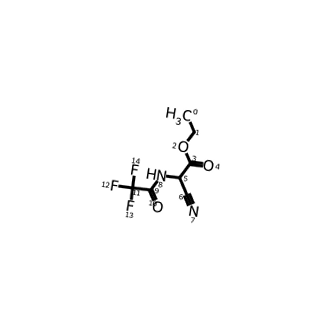 CCOC(=O)C(C#N)NC(=O)C(F)(F)F